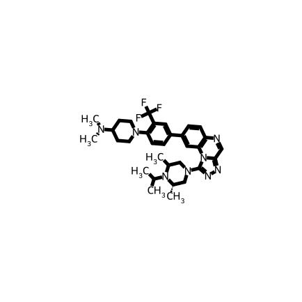 CC(C)N1C(C)CN(c2nnc3cnc4ccc(-c5ccc(N6CCC(N(C)C)CC6)c(C(F)(F)F)c5)cc4n23)C[C@@H]1C